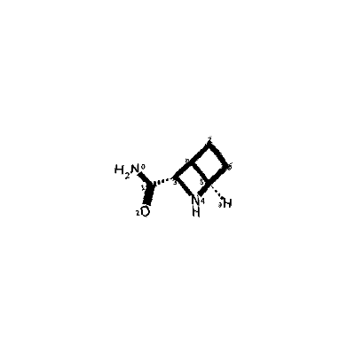 NC(=O)[C@H]1N[C@@H]2CCC12